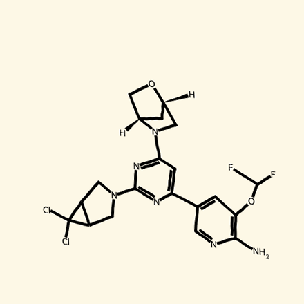 Nc1ncc(-c2cc(N3C[C@@H]4C[C@H]3CO4)nc(N3CC4C(C3)C4(Cl)Cl)n2)cc1OC(F)F